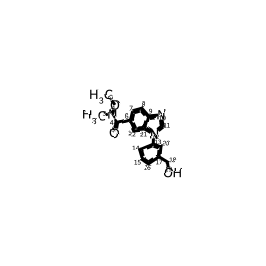 CON(C)C(=O)c1ccc2ncn(-c3cccc(CO)c3)c2c1